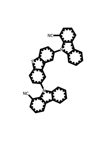 N#Cc1cccc2c3ccccc3n(-c3ccc4sc5ccc(-n6c7ccccc7c7cccc(C#N)c76)cc5c4c3)c12